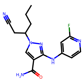 CCCC(CC#N)n1cc(C(N)=O)c(Nc2ccnc(F)c2)n1